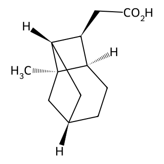 C[C@@]12C[C@H]3CC[C@@H]1[C@H](CC(=O)O)[C@@H]2C3